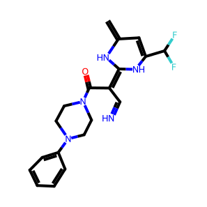 C=C1C=C(C(F)F)N/C(=C(\C=N)C(=O)N2CCN(c3ccccc3)CC2)N1